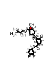 C[C@H]1CC2CC(S(=O)(=O)c3cc(C(=O)Nc4ccc(F)c(F)c4)ccc3Cl)CC1[C@@]2(O)COC[C@@H](O)[C@@H](C)O